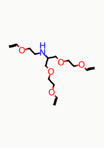 C=COCCNC(COCCOC=C)COCCOC=C